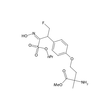 CCCOS(=O)(=O)C(=NO)C(CF)c1ccc(OCCC(C)(N)C(=O)OC)cc1